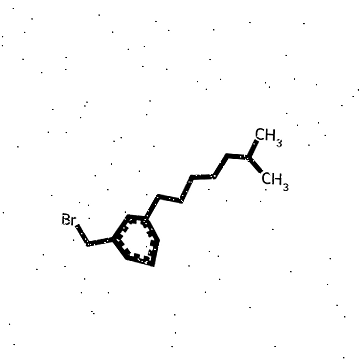 C[C](C)CCCCCc1cccc(CBr)c1